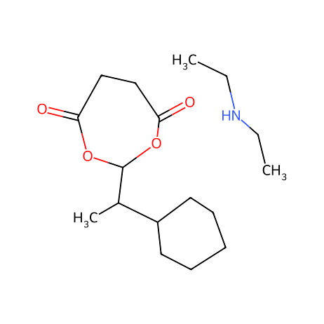 CC(C1CCCCC1)C1OC(=O)CCC(=O)O1.CCNCC